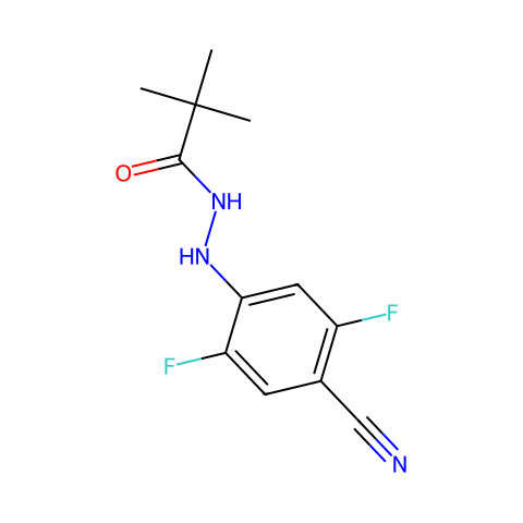 CC(C)(C)C(=O)NNc1cc(F)c(C#N)cc1F